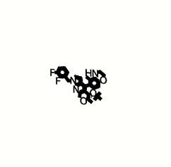 CC(=O)[C@@H](OC(C)(C)C)c1c(C)nc2c(ccn2Cc2cccc(F)c2F)c1-c1ccc2c(c1C)NCCO2